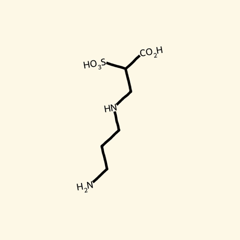 NCCCNCC(C(=O)O)S(=O)(=O)O